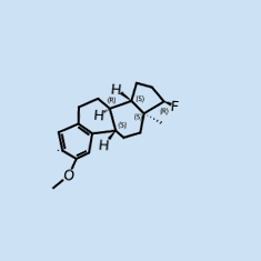 COc1[c]cc2c(c1)[C@H]1CC[C@]3(C)[C@H](F)CC[C@H]3[C@@H]1CC2